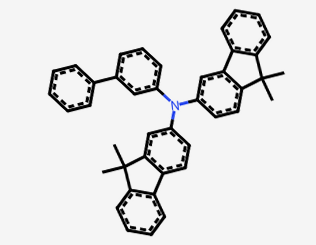 CC1(C)c2ccccc2-c2cc(N(c3cccc(-c4ccccc4)c3)c3ccc4c(c3)C(C)(C)c3ccccc3-4)ccc21